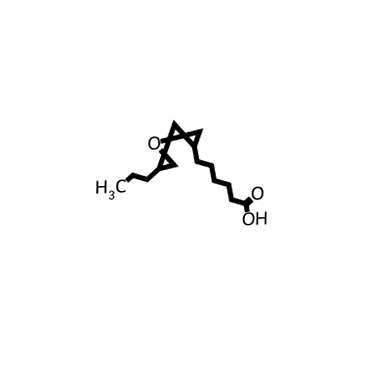 CCCC1CC12OC21CC12CC2CCCCCC(=O)O